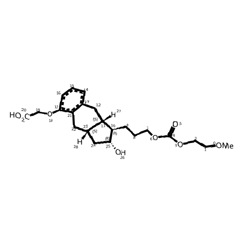 COCCOC(=O)OCCC[C@@H]1[C@H]2Cc3cccc(OCC(=O)O)c3C[C@H]2C[C@H]1O